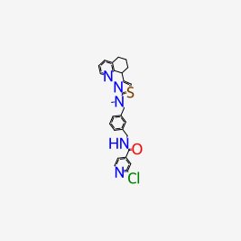 CN(Cc1cccc(CNC(=O)c2ccnc(Cl)c2)c1)c1nc(C2CCCc3cccnc32)cs1